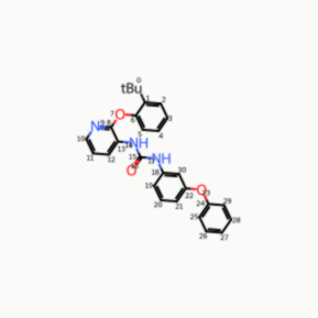 CC(C)(C)c1ccccc1Oc1ncccc1NC(=O)Nc1cccc(Oc2ccccc2)c1